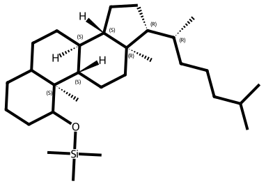 CC(C)CCC[C@@H](C)[C@H]1CC[C@H]2[C@@H]3CCC4CCCC(O[Si](C)(C)C)[C@]4(C)[C@H]3CC[C@]12C